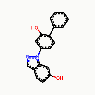 Oc1ccc2cnn(-c3ccc(-c4ccccc4)c(O)c3)c2c1